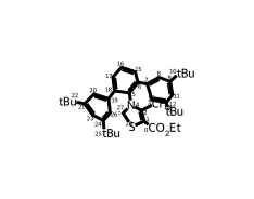 CCOC(=O)C1=C(C)N(c2c(-c3cc(C(C)(C)C)cc(C(C)(C)C)c3)cccc2-c2cc(C(C)(C)C)cc(C(C)(C)C)c2)[C]S1